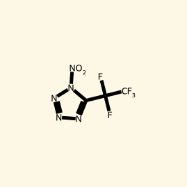 O=[N+]([O-])n1nnnc1C(F)(F)C(F)(F)F